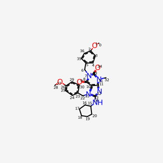 COc1ccc(Cn2c(=O)c3c(nc(NC4CCCCC4)n3Cc3ccc(OC)cc3)n(C)c2=O)cc1